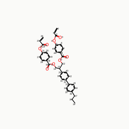 C=CC(=O)Oc1ccc(C(=O)OCC(COC(=O)c2ccc(OC(=O)C=C)cc2)c2ccc(-c3ccc(CCC)cc3)cc2)cc1